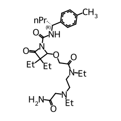 CCC[C@@H](NC(=O)N1C(=O)C(CC)(CC)C1OCC(=O)N(CC)CCN(CC)CC(N)=O)c1ccc(C)cc1